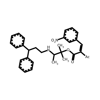 CC(=O)C(=Cc1cccc([N+](=O)[O-])c1)C(=O)OC(C)(C)C(C)NCCC(c1ccccc1)c1ccccc1